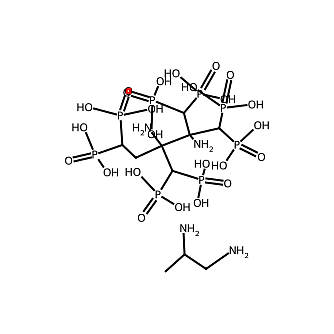 CC(N)CN.NC(CC(P(=O)(O)O)P(=O)(O)O)(C(P(=O)(O)O)P(=O)(O)O)C(N)(C(P(=O)(O)O)P(=O)(O)O)C(P(=O)(O)O)P(=O)(O)O